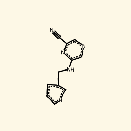 N#Cc1cncc(NCc2cccnc2)n1